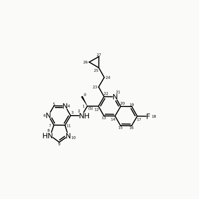 C[C@H](Nc1ncnc2[nH]cnc12)c1cc2ccc(F)cc2nc1CCC1CC1